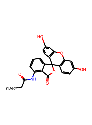 CCCCCCCCCCCC(=O)Nc1cccc2c1C(=O)OC21c2ccc(O)cc2Oc2cc(O)ccc21